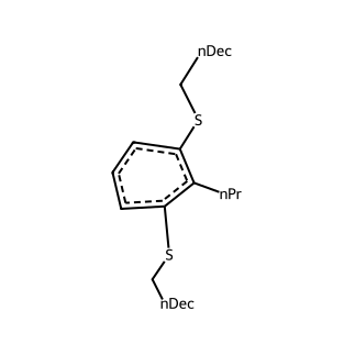 [CH2]CCc1c(SCCCCCCCCCCC)cccc1SCCCCCCCCCCC